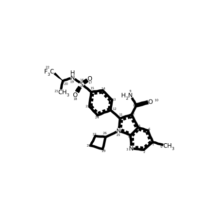 Cc1cnc2c(c1)c(C(N)=O)c(-c1ccc(S(=O)(=O)N[C@@H](C)C(F)(F)F)cc1)n2C1CCC1